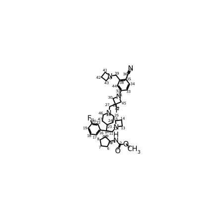 COC(=O)N[C@H]1CCC[C@@H]1C(CN1CCC1)(c1cccc(F)c1)C1CCN(CC2(F)CN(c3ccc(C#N)c(CN4CCC4)c3)C2)CC1